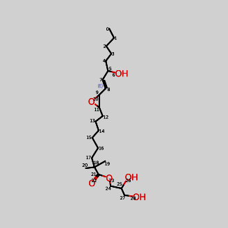 CCCCCC(O)/C=C/C1OC1CCCCCCC(C)(C)C(=O)OCC(O)CO